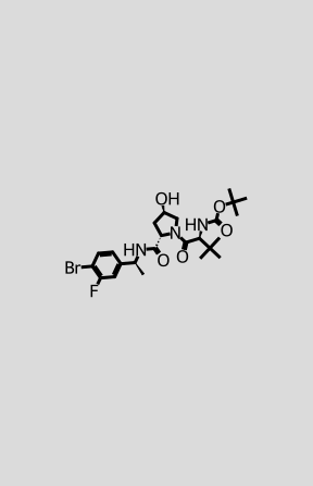 C[C@H](NC(=O)[C@@H]1C[C@@H](O)CN1C(=O)[C@@H](NC(=O)OC(C)(C)C)C(C)(C)C)c1ccc(Br)c(F)c1